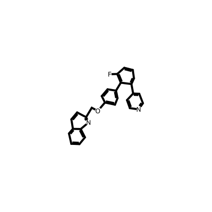 Fc1cccc(-c2ccncc2)c1-c1ccc(OCc2ccc3ccccc3n2)cc1